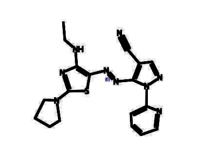 CCNc1nc(N2CCCC2)sc1/N=N/c1c(C#N)cnn1-c1ccccn1